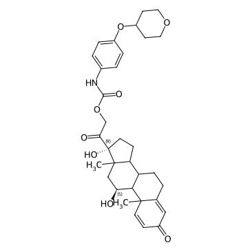 CC12C=CC(=O)C=C1CCC1C2[C@@H](O)CC2(C)C1CC[C@]2(O)C(=O)COC(=O)Nc1ccc(OC2CCOCC2)cc1